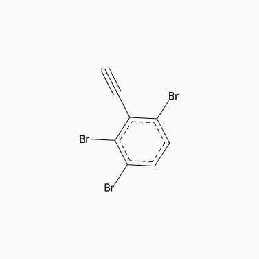 [C]#Cc1c(Br)ccc(Br)c1Br